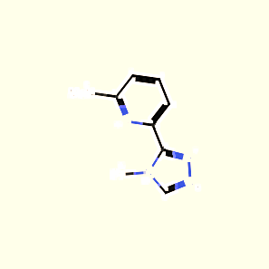 CNc1cccc(-c2nncn2C(C)C)n1